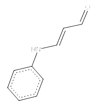 O=CC=CNc1cc[c]cc1